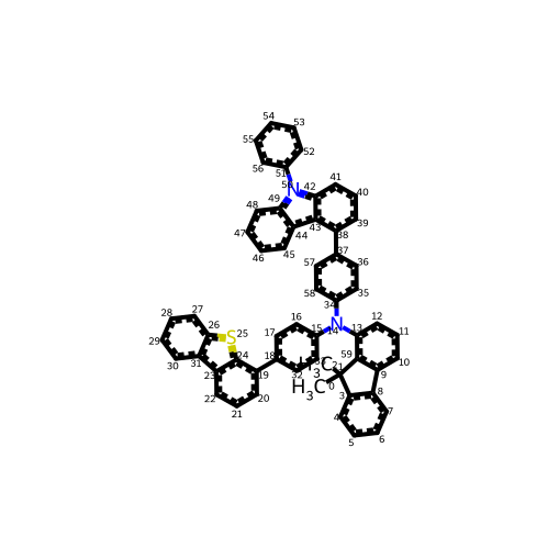 CC1(C)c2ccccc2-c2cccc(N(c3ccc(-c4cccc5c4sc4ccccc45)cc3)c3ccc(-c4cccc5c4c4ccccc4n5-c4ccccc4)cc3)c21